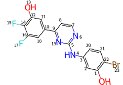 Oc1cc(Nc2nccc(-c3cc(O)c(F)c(F)c3)n2)ccc1Br